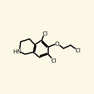 ClCCOc1c(Cl)cc2c(c1Cl)CCNC2